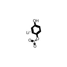 O=[S-](=O)Oc1ccc(O)cc1.[Li+]